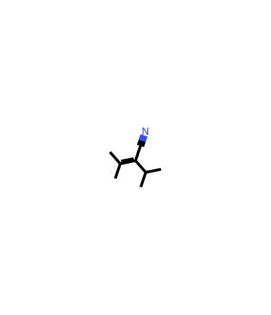 CC(C)=C(C#N)C(C)C